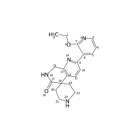 CCOc1ncccc1-c1ccc2c(n1)CNC(=O)C21CCNCC1